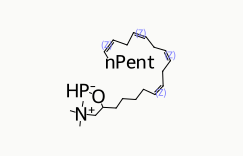 CCCCC/C=C\C/C=C\C/C=C\C/C=C\CCCCC(C[N+](C)(C)C)O[PH-]